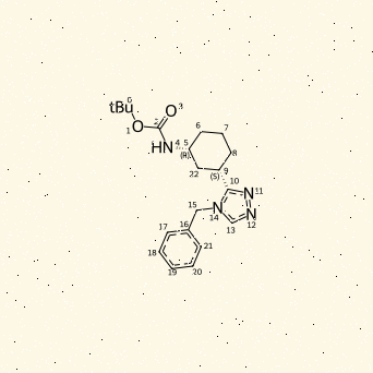 CC(C)(C)OC(=O)N[C@@H]1CCC[C@H](c2nncn2Cc2ccccc2)C1